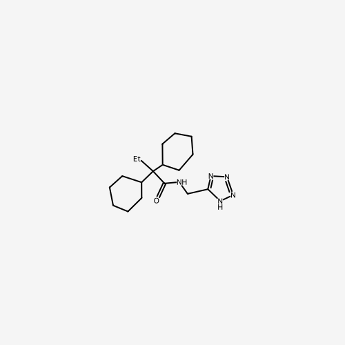 CCC(C(=O)NCc1nnn[nH]1)(C1CCCCC1)C1CCCCC1